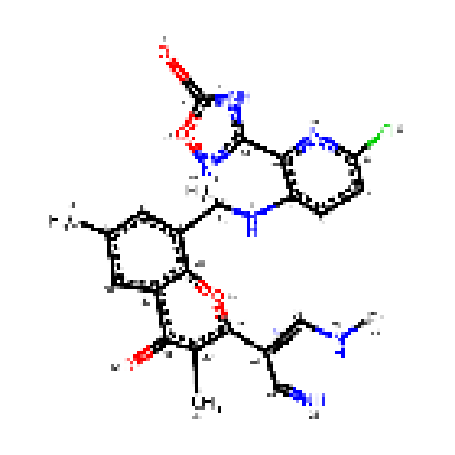 Cc1cc([C@@H](C)Nc2ccc(Cl)nc2-c2noc(=O)[nH]2)c2oc(/C(C=N)=C/NC(C)C)c(C)c(=O)c2c1